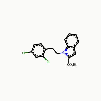 CCOC(=O)c1cc2ccccc2n1CCc1ccc(Cl)cc1Cl